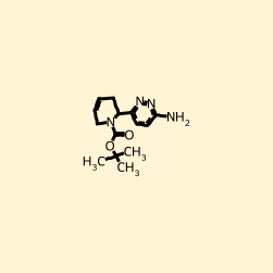 CC(C)(C)OC(=O)N1CC=CCC1c1ccc(N)nn1